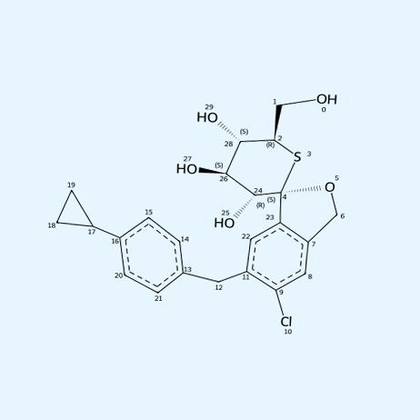 OC[C@H]1S[C@]2(OCc3cc(Cl)c(Cc4ccc(C5CC5)cc4)cc32)[C@H](O)[C@@H](O)[C@@H]1O